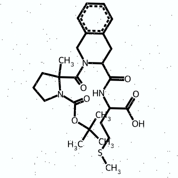 CSCCC(NC(=O)C1Cc2ccccc2CN1C(=O)C1(C)CCCN1C(=O)OC(C)(C)C)C(=O)O